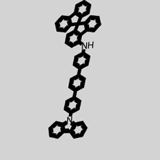 c1ccc2c(c1)-c1ccccc1C21c2ccccc2-c2c(Nc3ccc(-c4ccc(-c5ccc(-n6c7ccccc7c7ccccc76)cc5)cc4)cc3)cccc21